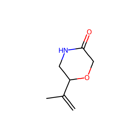 C=C(C)C1CNC(=O)CO1